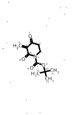 C=C1C(=O)CCN(C(=O)OC(C)(C)C)C1=O